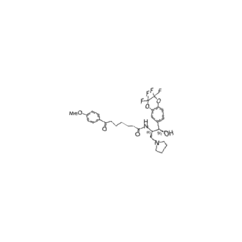 COc1ccc(C(=O)CCCCCC(=O)N[C@H](CN2CCCC2)[C@H](O)c2ccc3c(c2)OC(F)(F)C(F)(F)O3)cc1